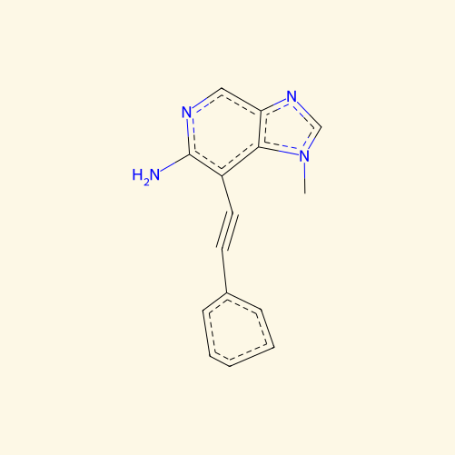 Cn1cnc2cnc(N)c(C#Cc3ccccc3)c21